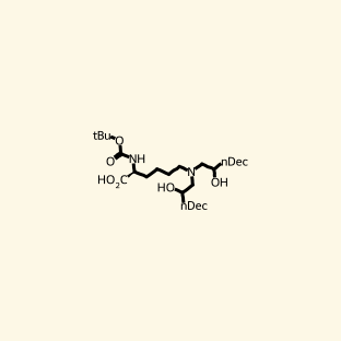 CCCCCCCCCCC(O)CN(CCCC[C@H](NC(=O)OC(C)(C)C)C(=O)O)CC(O)CCCCCCCCCC